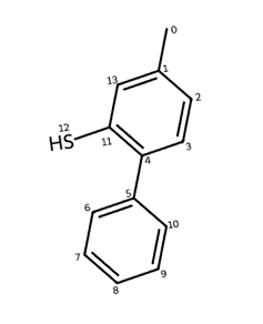 Cc1ccc(-c2ccccc2)c(S)c1